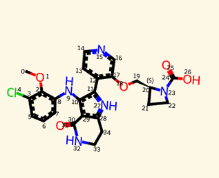 COc1c(Cl)cccc1Nc1c(-c2ccncc2OC[C@@H]2CCN2C(=O)O)[nH]c2c1C(=O)NCC2